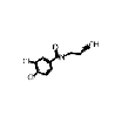 C#CCCNC(=O)c1ccc(Cl)c(Cl)c1